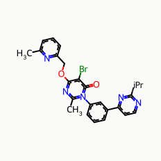 Cc1cccc(COc2nc(C)n(-c3cccc(-c4ccnc(C(C)C)n4)c3)c(=O)c2Br)n1